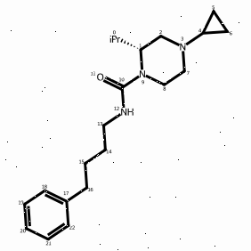 CC(C)[C@@H]1CN(C2CC2)CCN1C(=O)NCCCCc1ccccc1